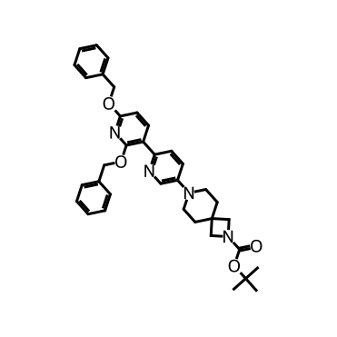 CC(C)(C)OC(=O)N1CC2(CCN(c3ccc(-c4ccc(OCc5ccccc5)nc4OCc4ccccc4)nc3)CC2)C1